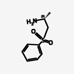 C[C@@H](N)CS(=O)(=O)c1ccccc1